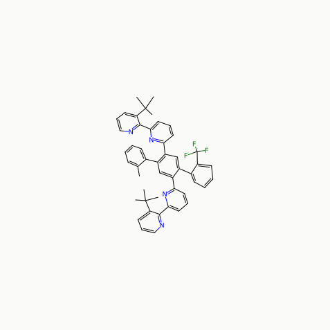 Cc1ccccc1-c1cc(-c2cccc(-c3ncccc3C(C)(C)C)n2)c(-c2ccccc2C(F)(F)F)cc1-c1cccc(-c2ncccc2C(C)(C)C)n1